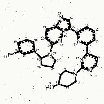 OC1CCN(c2nccc(-c3cccc(-c4cnc5ccc(N6CCCC6c6cccc(F)c6)nn45)n3)n2)CC1